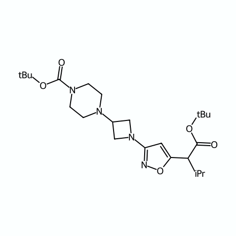 CC(C)C(C(=O)OC(C)(C)C)c1cc(N2CC(N3CCN(C(=O)OC(C)(C)C)CC3)C2)no1